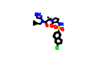 C[C@@H](C(=O)N(CCN)CC1CC1)N1CCC(NS(=O)(=O)c2ccc3cc(Cl)ccc3c2)C1=O